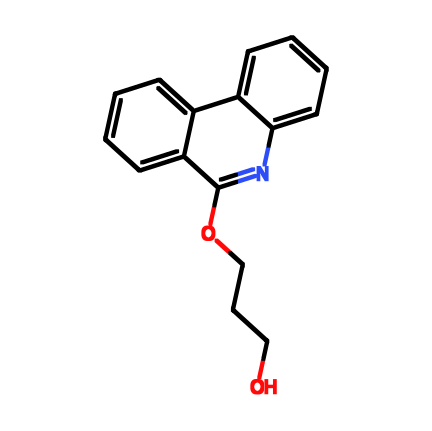 OCCCOc1nc2ccccc2c2ccccc12